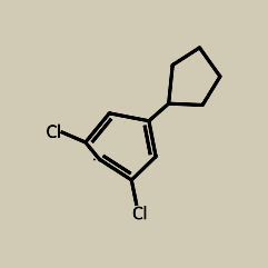 Clc1[c]c(Cl)cc(C2CCCC2)c1